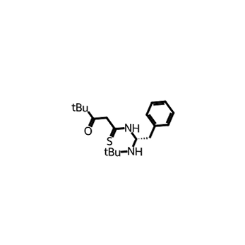 CC(C)(C)N[C@@H](Cc1ccccc1)NC(=S)CC(=O)C(C)(C)C